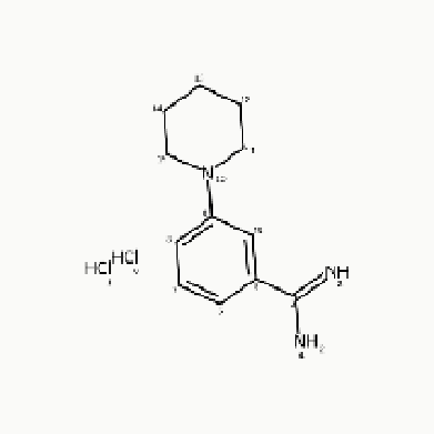 Cl.Cl.N=C(N)c1cccc(N2CCCCC2)c1